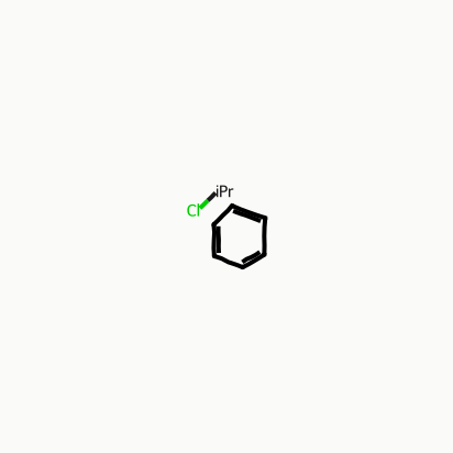 CC(C)Cl.c1ccccc1